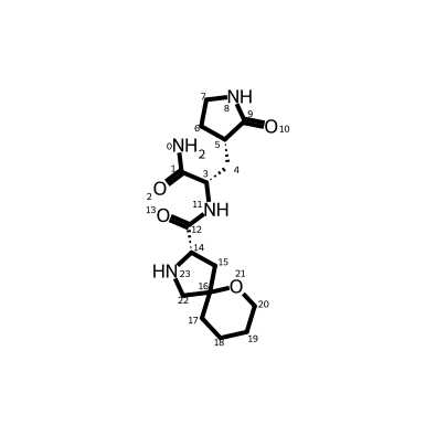 NC(=O)[C@H](C[C@@H]1CCNC1=O)NC(=O)[C@@H]1CC2(CCCCO2)CN1